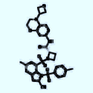 Cc1ccc(S(=O)(=O)n2c(C#N)cc3cc(C)cc(S(=O)(=O)N4CC[C@H]4C(=O)Nc4ccc5c(c4)OCCN5C4COC4)c32)cc1